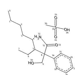 CCCCCC(CC)C(CO)(C(N)=O)c1ccccc1.CS(=O)(=O)O